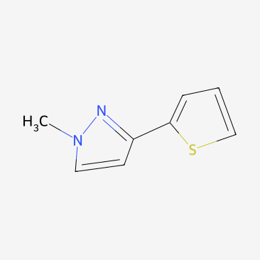 Cn1ccc(-c2cccs2)n1